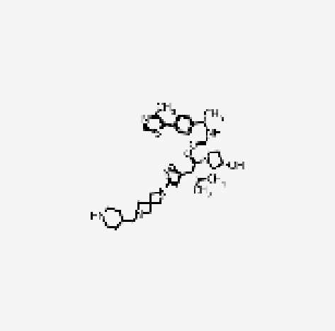 Cc1ncsc1-c1ccc([C@H](C)NC(=O)[C@@H]2C[C@@H](O)CN2C(=O)[C@@H](c2cc(N3CC4(CN(CC5CCNCC5)C4)C3)no2)C(C)C)cc1